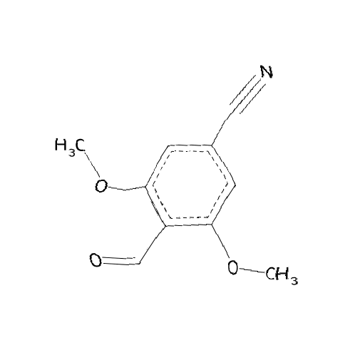 COc1cc(C#N)cc(OC)c1C=O